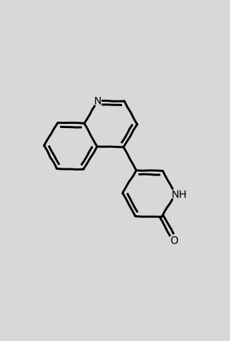 O=c1ccc(-c2ccnc3ccccc23)c[nH]1